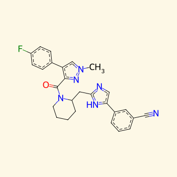 Cn1cc(-c2ccc(F)cc2)c(C(=O)N2CCCCC2Cc2ncc(-c3cccc(C#N)c3)[nH]2)n1